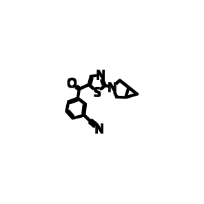 N#Cc1cccc(C(=O)c2cnc(N3CC4CC4C3)s2)c1